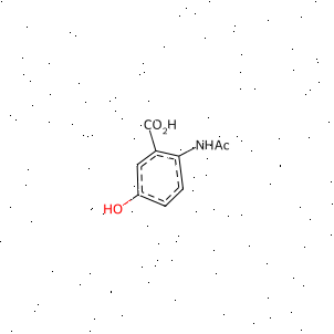 CC(=O)Nc1ccc(O)cc1C(=O)O